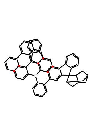 C1=CCCC(c2cccc3c2=C(c2ccccc2N(c2ccccc2-c2ccc4c(c2)C2(c5ccccc5-4)C4CC5CC(C4)C2C5)c2cccc4c2oc2ccccc24)CCC=3)=C1